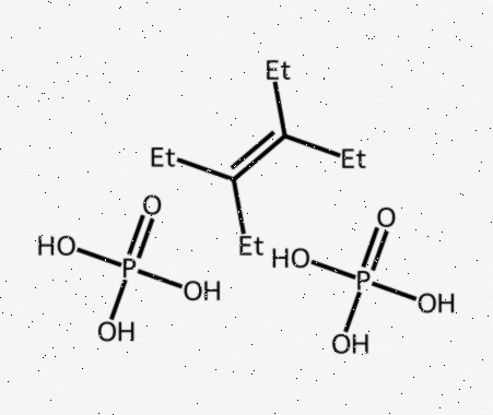 CCC(CC)=C(CC)CC.O=P(O)(O)O.O=P(O)(O)O